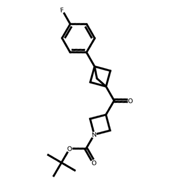 CC(C)(C)OC(=O)N1CC(C(=O)C23CC(c4ccc(F)cc4)(C2)C3)C1